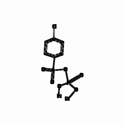 CCOP(=O)(OCC)OS(=O)(=O)c1ccc(Cl)cc1